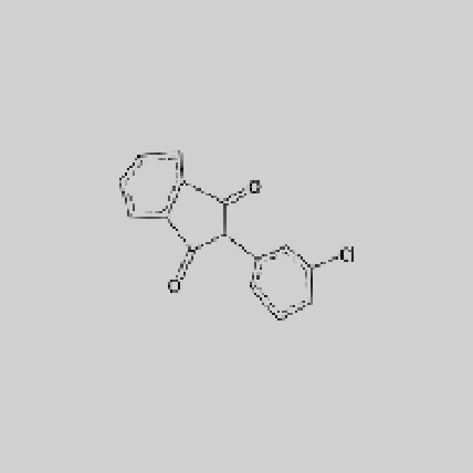 O=C1c2ccccc2C(=O)C1c1cccc(Cl)c1